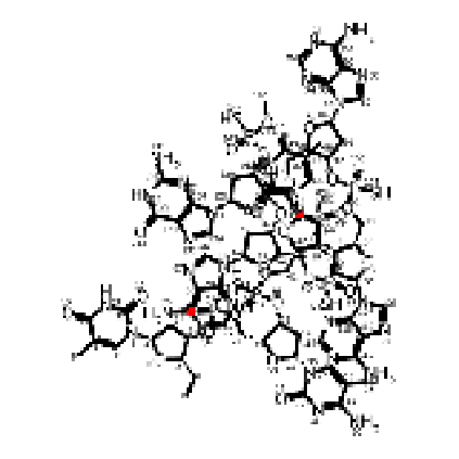 CC[C@H]1O[C@@H](n2cc(C)c(=O)[nH]c2=O)C[C@H]1OP(=O)(S)OC[C@H]1O[C@@H](n2cc(C)c(N)nc2=O)C[C@H]1OP(=O)(S)OC[C@H]1O[C@@H](n2cc(C)c(=O)[nH]c2=O)C[C@H]1OP(=O)(S)OC[C@H]1O[C@@H](n2cnc3c(N)ncnc32)C[C@H]1OP(=O)(S)OC[C@H]1O[C@@H](n2cnc3c(N)ncnc32)C[C@H]1OP(=O)(S)OC[C@H]1O[C@@H](n2cnc3c(N)ncnc32)C[C@H]1OP(=O)(S)OC[C@H]1O[C@@H](n2cnc3c(=O)[nH]c(N)nc32)C[C@H]1OP(=O)(S)OC